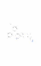 CCn1c(CN2CC[C@H](N)C2)cc2c(-c3ccc(C#N)c(F)c3)c(-c3cc(C)c(C)c(C)c3)ncc21